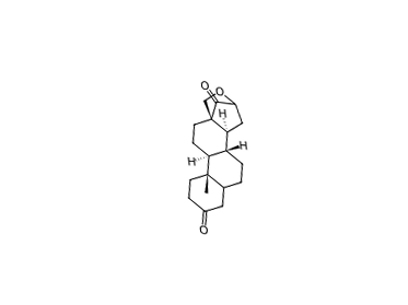 C[C@]12CCC(=O)CC1CC[C@H]1[C@@H]3CC4OC[C@@]3(CC[C@@H]12)C4=O